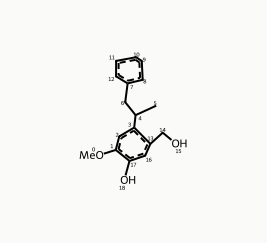 COc1cc(C(C)Cc2ccccc2)c(CO)cc1O